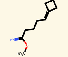 N=C(CCCC=C1CCC1)OC(=O)O